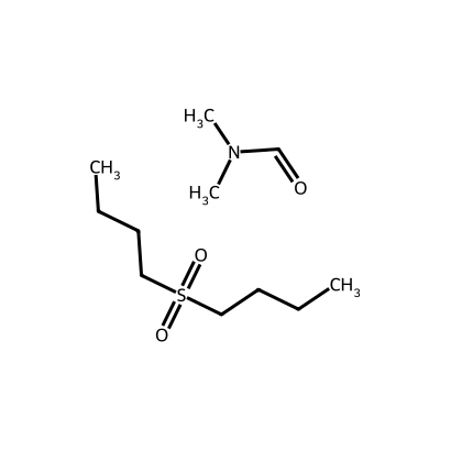 CCCCS(=O)(=O)CCCC.CN(C)C=O